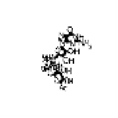 CC(=O)C1OC(OP(=O)(O)OP(=O)(O)OCC2OC(n3cnc4c(=O)[nH]c(N)nc43)C(O)C2O)C(O)C(O)C1O